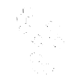 c1ccc2c(c1)ccc1ccc(-c3nc(-c4ccc5ccc6ccccc6c5n4)nc(-n4c5ncccc5c5cccnc54)n3)nc12